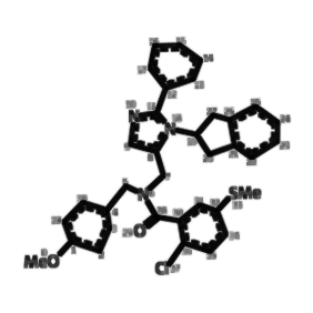 COc1ccc(CN(Cc2cnc(-c3ccccc3)n2C2Cc3ccccc3C2)C(=O)c2cc(SC)ccc2Cl)cc1